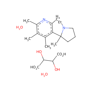 CCN1CCCC1(C)c1c(C)nc(C)c(C)c1C.O.O.O=C(O)C(O)C(O)C(=O)O